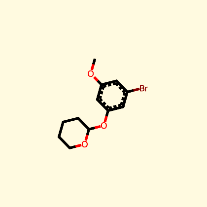 COc1cc(Br)cc(OC2CCCCO2)c1